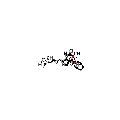 CC(C)(C)OC(=O)N1C2CCC1CN(c1nc(Cl)nc3c1cnn3COCC[Si](C)(C)C)C2